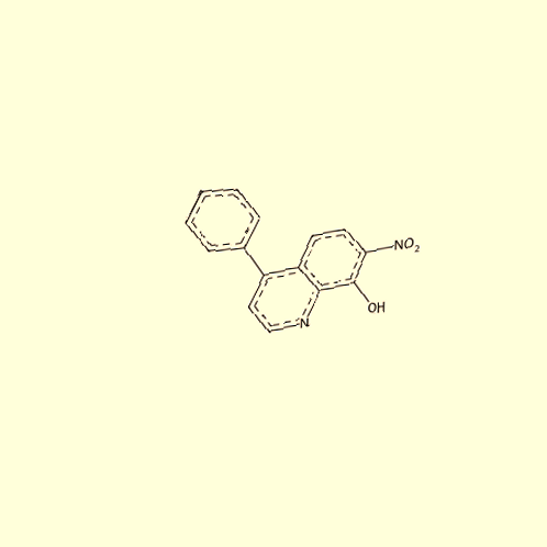 O=[N+]([O-])c1ccc2c(-c3ccccc3)ccnc2c1O